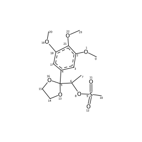 COc1cc(C2(C(C)OS(C)(=O)=O)OCCO2)cc(OC)c1OC